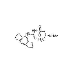 CC(=O)NC(C)CS(=O)(=O)NC(=O)Nc1c2c(cc3c1CCC3)CCC2